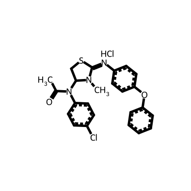 CC(=O)N(c1ccc(Cl)cc1)C1CSC(=Nc2ccc(Oc3ccccc3)cc2)N1C.Cl